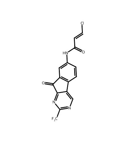 O=C(/C=C/Cl)Nc1ccc2c(c1)C(=O)c1nc(C(F)(F)F)ncc1-2